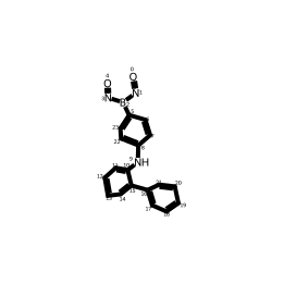 O=NB(N=O)c1ccc(Nc2ccccc2-c2ccccc2)cc1